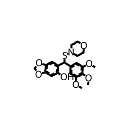 COc1cc(C(SN2CCOCC2)c2cc3c(cc2O)OCO3)cc(OC)c1OC